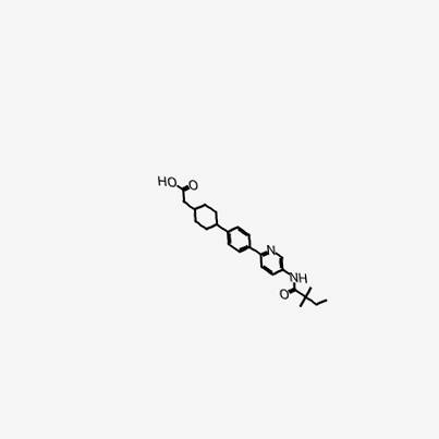 CCC(C)(C)C(=O)Nc1ccc(-c2ccc(C3CCC(CC(=O)O)CC3)cc2)nc1